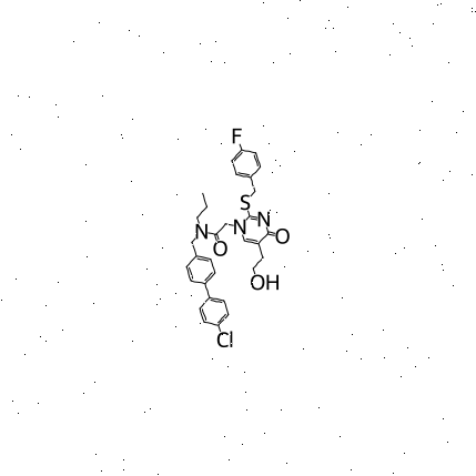 CCCN(Cc1ccc(-c2ccc(Cl)cc2)cc1)C(=O)Cn1cc(CCO)c(=O)nc1SCc1ccc(F)cc1